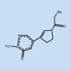 Cn1ncc(C2=CN(C(=O)OC(C)(C)C)CC2)cc1=O